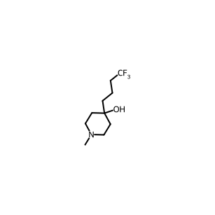 CN1CCC(O)(CCCC(F)(F)F)CC1